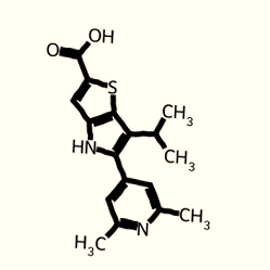 Cc1cc(-c2[nH]c3cc(C(=O)O)sc3c2C(C)C)cc(C)n1